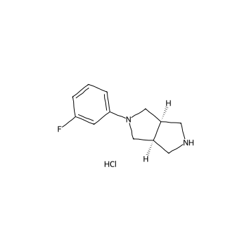 Cl.Fc1cccc(N2C[C@H]3CNC[C@H]3C2)c1